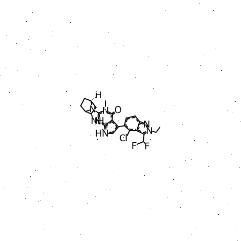 CCn1nc2ccc(-c3c[nH]c4nc(N5C6CC[C@H]5C[C@H]6N)n(C)c(=O)c34)c(Cl)c2c1C(F)F